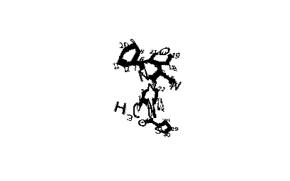 CC1CN(c2nc(-c3ccccc3)c3c(c2C#N)CCOC3)CCN1C(=O)c1cccs1